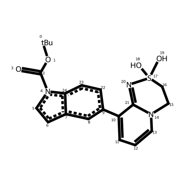 CC(C)(C)OC(=O)n1ccc2cc(C3=CC=CN4CCS(O)(O)N=C34)ccc21